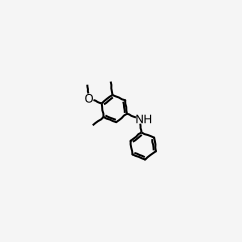 COc1c(C)cc(Nc2ccccc2)cc1C